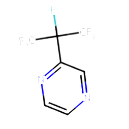 FC(F)(F)C(F)(c1[c]nccn1)C(F)(F)F